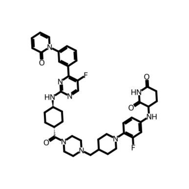 O=C1CCC(Nc2ccc(N3CCC(CN4CCN(C(=O)[C@H]5CC[C@H](Nc6ncc(F)c(-c7cccc(-n8ccccc8=O)c7)n6)CC5)CC4)CC3)c(F)c2)C(=O)N1